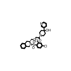 O=C(COC[C@@H]1Cc2ccccc2CN1S(=O)(=O)c1ccc(Cl)cc1Cl)N1CCC(O)(c2cccnc2)CC1